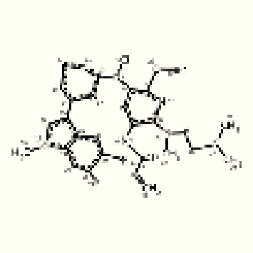 C=CC(=O)Nc1cc(N(Cl)c2nccc(-c3cn(C)c4cc(F)c(F)cc34)n2)c(OC(C)C)nc1N(C)CCN(C)C